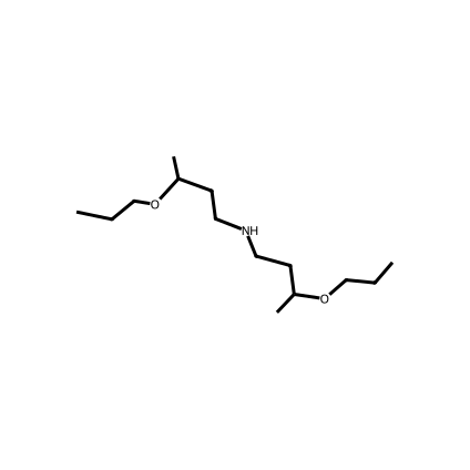 CCCOC(C)CCNCCC(C)OCCC